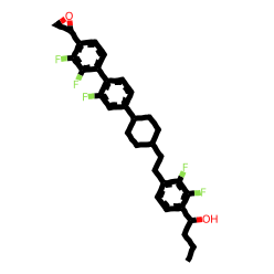 CCCC(O)c1ccc(CCC2CCC(c3ccc(-c4ccc(C5CO5)c(F)c4F)c(F)c3)CC2)c(F)c1F